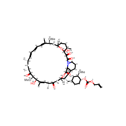 C=CCOC(=O)O[C@@H]1CC[C@@H](C[C@H]2C3CCCN4C(=O)C(=O)[C@]5(O)O[C@@H](CC[C@H]5C)C[C@H](OC)/C(C)=C/C=C/C=C/[C@@H](C)C[C@@H](C)C(=O)[C@H](OC)[C@H](O)/C(C)=C/[C@@H](C)C(=O)C[C@@H]2OC(=O)[C@H]34)C[C@H]1OC